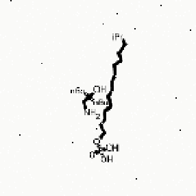 CC(C)CCCCCCCCCCCCCOP(=O)(O)O.CCCCC(O)(CN)CCCC